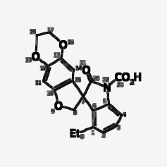 CCc1cccc2c1C1(COc3cc4c(cc31)OCCO4)C(=O)N2C(=O)O